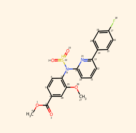 COC(=O)c1ccc(N(c2cccc(-c3ccc(F)cc3)n2)[SH](=O)=O)c(OC)c1